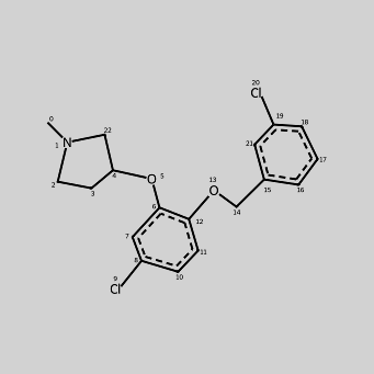 CN1CCC(Oc2cc(Cl)ccc2OCc2cccc(Cl)c2)C1